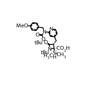 COc1ccc(CN(C(=O)OC(C)(C)C)c2cc(C[C@@H]3C(=O)N(C(C)(C)C)[C@]3(C(=O)O)[SiH](C)C)ccn2)cc1